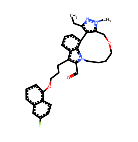 CCc1nn(C)c2c1-c1cccc3c(CCCOc4cccc5cc(F)ccc45)c(C=O)n(c13)CCCCOC2